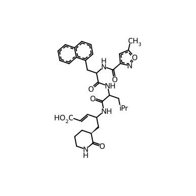 Cc1cc(C(=O)NC(Cc2cccc3ccccc23)C(=O)NC(CC(C)C)C(=O)NC(/C=C/C(=O)O)C[C@@H]2CCCNC2=O)no1